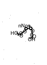 C=C(CO)C(=O)OCCOc1cccc(-c2cc(OCCOC(=O)C(C)CO)ccc2CCCCCCCCC)c1